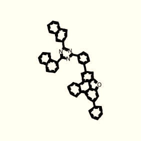 c1ccc(-c2cc3oc4cc(-c5cccc(-c6nc(-c7ccc8ccccc8c7)nc(-c7cccc8ccccc78)n6)c5)cc5c6ccccc6c(c2)c3c45)cc1